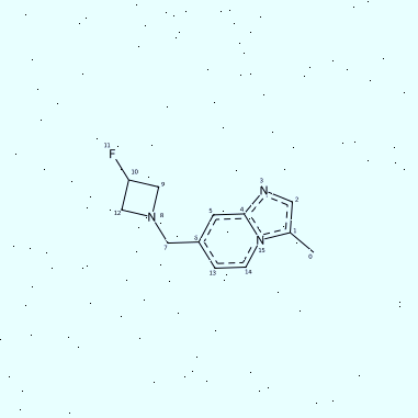 Cc1cnc2cc(CN3CC(F)C3)ccn12